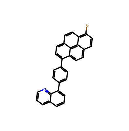 Brc1ccc2ccc3c(-c4ccc(-c5cccc6cccnc56)cc4)ccc4ccc1c2c43